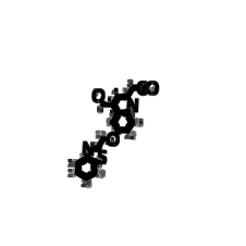 O=C=Cc1cc(C=O)c2cc(OCc3nc4ccccc4s3)ccc2n1